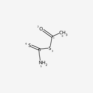 CC(=O)SC(N)=S